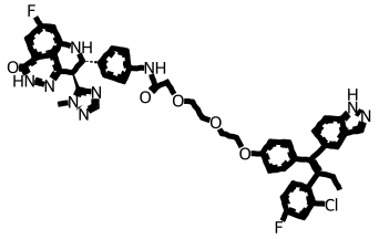 CC/C(=C(/c1ccc(OCCOCCOCC(=O)Nc2ccc([C@H]3Nc4cc(F)cc5c(=O)[nH]nc(c45)[C@@H]3c3ncnn3C)cc2)cc1)c1ccc2[nH]ncc2c1)c1ccc(F)cc1Cl